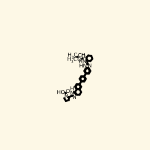 CC(C)(C)OC(=O)NC1(c2nc3ccc(-c4ccc(-c5ccc6c(c5)CCc5nc(C7CCCN7C(=O)O)[nH]c5-6)cc4)cc3[nH]2)CCCCC1